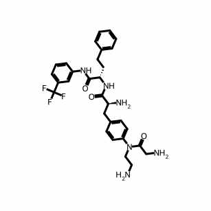 NCCN(C(=O)CN)c1ccc(C[C@H](N)C(=O)N[C@@H](CCc2ccccc2)C(=O)Nc2cccc(C(F)(F)F)c2)cc1